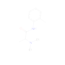 CCN(CC)C(C)C(=O)Nc1ccccc1C